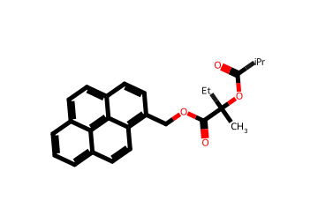 CCC(C)(OC(=O)C(C)C)C(=O)OCc1ccc2ccc3cccc4ccc1c2c34